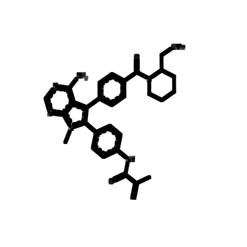 C=C(C)C(=O)Nc1ccc(-c2c(-c3ccc(C(=O)N4CCCCC4COC)cc3)c3c(N)ncnc3n2C)cc1